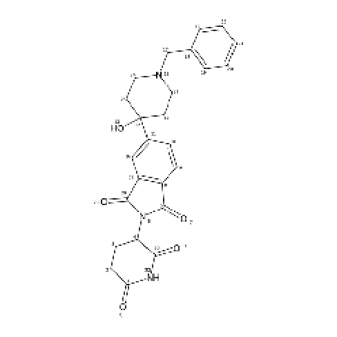 O=C1CCC(N2C(=O)c3ccc(C4(O)CCN(Cc5ccccc5)CC4)cc3C2=O)C(=O)N1